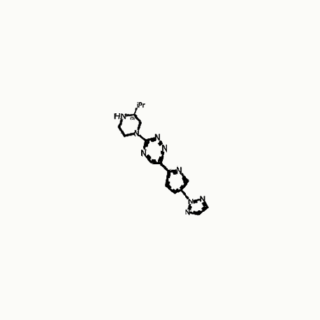 CC(C)[C@H]1CN(c2ncc(-c3ccc(-n4nccn4)cn3)nn2)CCN1